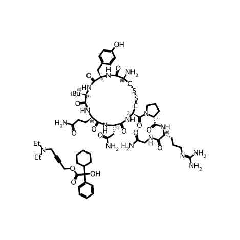 CCN(CC)CC#CCOC(=O)C(O)(c1ccccc1)C1CCCCC1.CC[C@H](C)[C@H]1NC(=O)[C@@H](Cc2ccc(O)cc2)NC(=O)[C@@H](N)CSSC[C@@H](C(=O)N2CCC[C@@H]2C(=O)N[C@H](CCCN=C(N)N)C(=O)NCC(N)=O)NC(=O)[C@H](CC(N)=O)NC(=O)[C@@H](CCC(N)=O)NC1=O